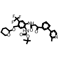 Cc1cc(-c2cccc(C(=O)CC(=O)Nc3cc(C(F)(F)F)c(COC4CCCCO4)cc3NC(=O)OC(C)(C)C)c2)ccn1